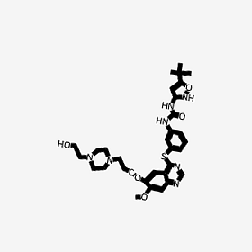 COc1cc2ncnc(Sc3cccc(NC(=O)NC4C=C(C(C)(C)C)ON4)c3)c2cc1OCCCN1CCN(CCO)CC1